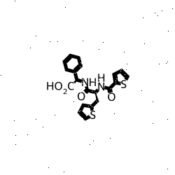 O=C(N[C@@H](CC1CC=CS1)C(=O)N[C@@H](C(=O)O)C1=CCC=CC1)c1cccs1